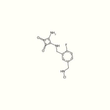 Nc1c(NCc2cc(CNCl)ccc2F)c(=O)c1=O